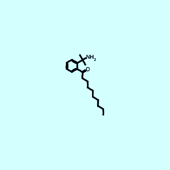 CCCCCCCCCC(=O)c1ccccc1C(C)(C)N